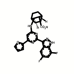 O=C(O)[C@H]1C2CCC(CC2)[C@@H]1Nc1cc(-c2ccco2)nc(-c2n[nH]c3c(F)cc(F)cc23)n1